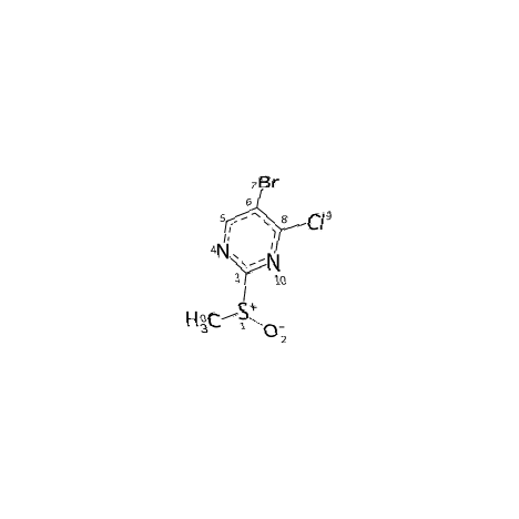 C[S+]([O-])c1ncc(Br)c(Cl)n1